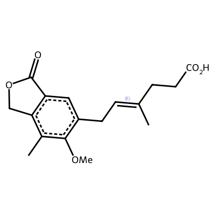 COc1c(C/C=C(\C)CCC(=O)O)cc2c(c1C)COC2=O